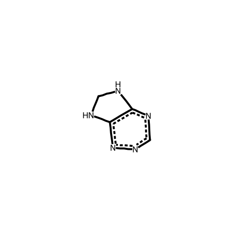 c1nnc2c(n1)NCN2